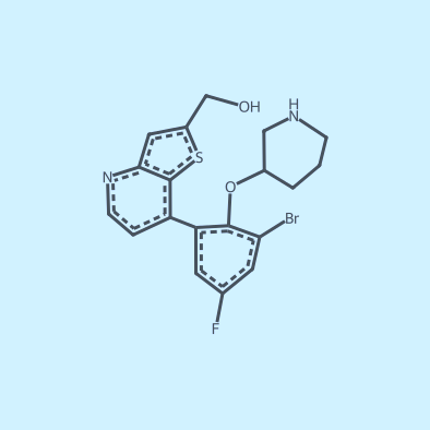 OCc1cc2nccc(-c3cc(F)cc(Br)c3OC3CCCNC3)c2s1